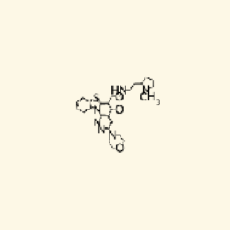 CN1CCCC1CCNOCc1c(=O)c2cc(N3CCOCC3)nnc2n2c1sc1ccccc12